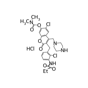 CCS(=O)(=O)Nc1cccc(Cc2c(CN3CCNCC3)c3cc(Cl)c(OC(=O)N(C)C)cc3oc2=O)c1Cl.Cl